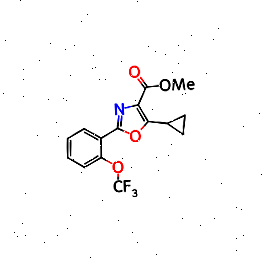 COC(=O)c1nc(-c2ccccc2OC(F)(F)F)oc1C1CC1